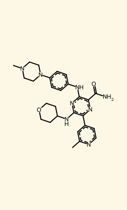 Cc1cc(-c2nc(C(N)=O)c(Nc3ccc(N4CCN(C)CC4)cc3)nc2NC2CCOCC2)ccn1